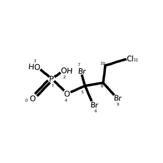 O=P(O)(O)OC(Br)(Br)C(Br)CCl